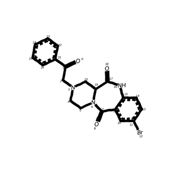 O=C(CN1CCN2C(=O)c3cc(Br)ccc3NC(=O)C2C1)c1ccccc1